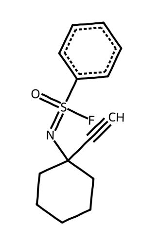 C#CC1(N=S(=O)(F)c2ccccc2)CCCCC1